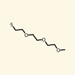 COCCOCCOCC[S]